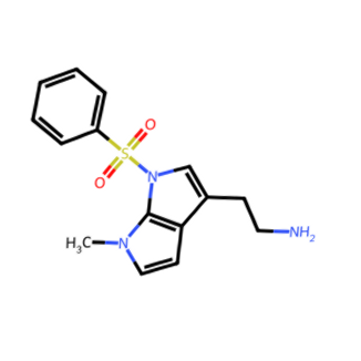 Cn1ccc2c(CCN)cn(S(=O)(=O)c3ccccc3)c21